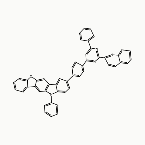 c1ccc(-c2cc(-c3ccc(-c4ccc5c(c4)c4cc6oc7ccccc7c6cc4n5-c4ccccc4)cc3)nc(-c3ccc4ccccc4n3)n2)cc1